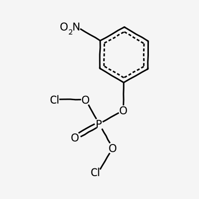 O=[N+]([O-])c1cccc(OP(=O)(OCl)OCl)c1